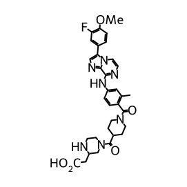 COc1ccc(-c2cnc3c(Nc4ccc(C(=O)N5CCC(C(=O)N6CCNC(CC(=O)O)C6)CC5)c(C)c4)nccn23)cc1F